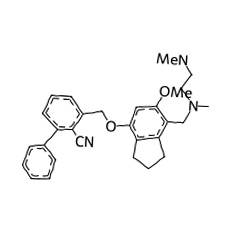 CNCCN(C)Cc1c(OC)cc(OCc2cccc(-c3ccccc3)c2C#N)c2c1CCC2